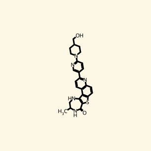 CC1CNc2c(sc3ccc4nc(-c5ccc(N6CCC(CO)CC6)nc5)ccc4c23)C(=O)N1